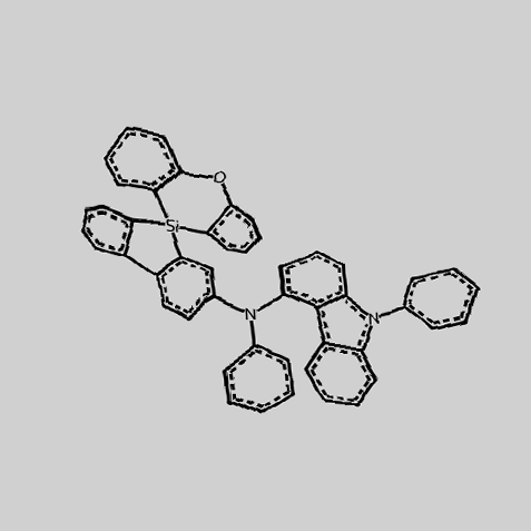 c1ccc(N(c2ccc3c(c2)[Si]2(c4ccccc4Oc4ccccc42)c2ccccc2-3)c2cccc3c2c2ccccc2n3-c2ccccc2)cc1